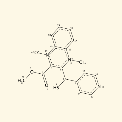 COC(=O)c1c(C(S)c2ccncc2)[n+]([O-])c2ccccc2[n+]1[O-]